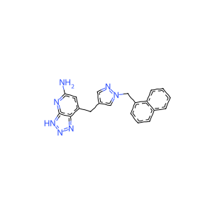 Nc1cc(Cc2cnn(Cc3cccc4ccccc34)c2)c2nn[nH]c2n1